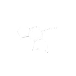 CCCCc1cc2c(c(CCCC)c1[O][Nd])OCO2